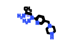 C/C(N)=C/N(N)c1ccc(CN2CCNCC2)cn1